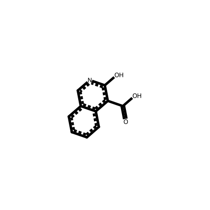 O=C(O)c1c(O)ncc2ccccc12